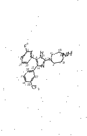 Fc1cc(-c2[nH]c(N3CCNCC3)nc2-c2cccc(C(F)(F)F)c2)ccn1